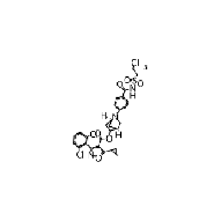 CCCS(=O)(=O)NC(=O)c1ccc(N2C[C@@H]3C[C@H]2CC3OC(=O)c2c(-c3c(Cl)cccc3Cl)noc2C2CC2)cc1